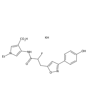 CCn1cc(NC(=O)C(F)Cc2cc(-c3ccc(O)cc3)no2)c(C(=O)O)c1.[KH]